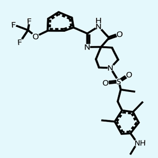 CNc1cc(C)c(CC(C)S(=O)(=O)N2CCC3(CC2)N=C(c2cccc(OC(F)(F)F)c2)NC3=O)c(C)c1